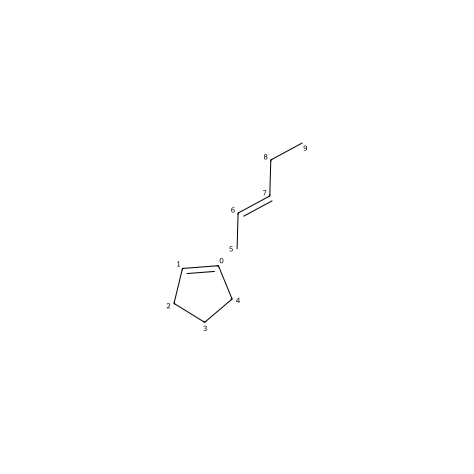 C1=CCCC1.CC=CCC